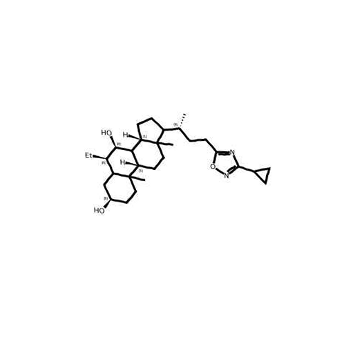 CC[C@@H]1C2C[C@H](O)CCC2(C)[C@H]2CCC3(C)C([C@H](C)CCc4nc(C5CC5)no4)CC[C@H]3C2[C@@H]1O